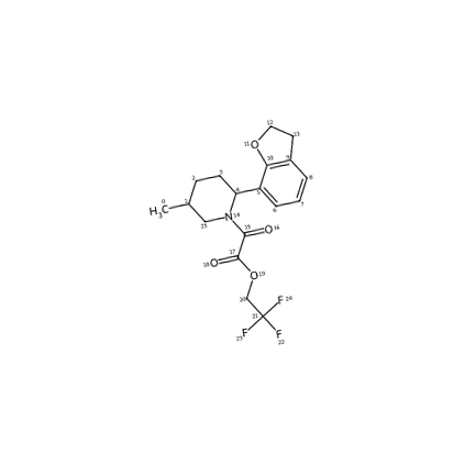 CC1CCC(c2cccc3c2OCC3)N(C(=O)C(=O)OCC(F)(F)F)C1